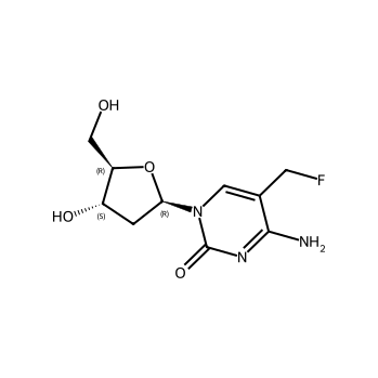 Nc1nc(=O)n([C@H]2C[C@H](O)[C@@H](CO)O2)cc1CF